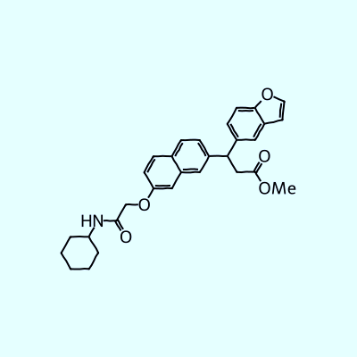 COC(=O)CC(c1ccc2ccc(OCC(=O)NC3CCCCC3)cc2c1)c1ccc2occc2c1